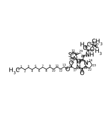 CCCCCCCCCCCCCCOC(=O)CNC(=O)[C@@H]1CCCN1C(=O)[C@H](Cc1cscn1)NC(=O)OC(C)(C)C